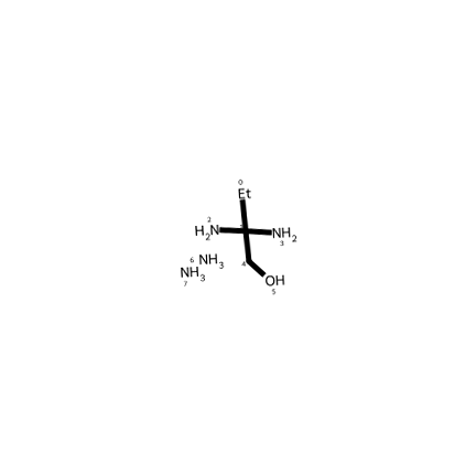 CCC(N)(N)CO.N.N